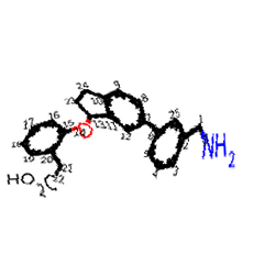 NCc1cccc(-c2ccc3c(c2)C(Oc2ccccc2CC(=O)O)CC3)c1